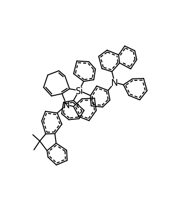 CC1(C)c2ccccc2-c2cc(N(C3=C([Si](c4ccccc4)(c4ccccc4)c4cccc(N(c5ccccc5)c5cccc6ccccc56)c4)C=CCC=C3)c3ccccc3)ccc21